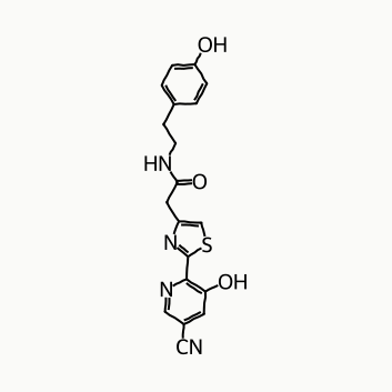 N#Cc1cnc(-c2nc(CC(=O)NCCc3ccc(O)cc3)cs2)c(O)c1